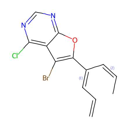 C=C/C=C(\C=C/C)c1oc2ncnc(Cl)c2c1Br